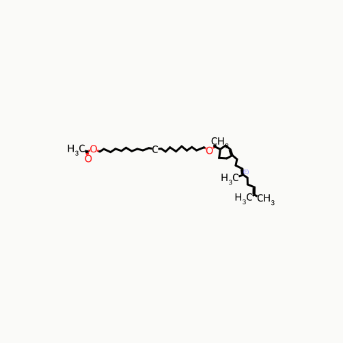 C=C(OCCCCCCCCCCCCCCCCCCCCOC(C)=O)C1CC=C(CC/C=C(\C)CCC=C(C)C)CC1